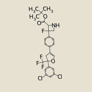 CC(C)(C)OC(=O)C1NCC1(F)c1ccc(C2=COC(c3cc(Cl)cc(Cl)c3)(C(F)(F)F)C2)cc1